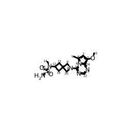 COc1cc(C)n2c(N3CC4(CC(N(C)S(N)(=O)=O)C4)C3)ncnc12